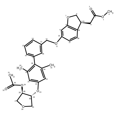 COC(=O)C[C@@H]1COc2cc(OCc3cccc(-c4c(C)cc(O[C@@H]5COC[C@H]5OC(C)=O)cc4C)c3)ccc21